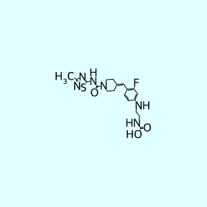 Cc1nsc(NC(=O)N2CCC(=Cc3ccc(NCCNC(=O)O)cc3F)CC2)n1